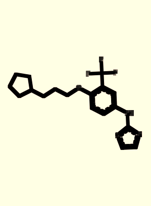 FC(F)(F)c1cc(Nc2nccs2)ccc1OCCCC1CCCC1